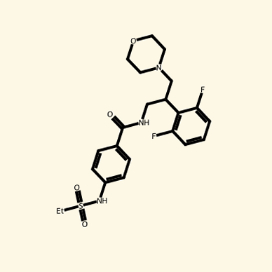 CCS(=O)(=O)Nc1ccc(C(=O)NCC(CN2CCOCC2)c2c(F)cccc2F)cc1